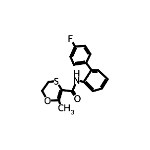 CC1=C(C(=O)Nc2ccccc2-c2ccc(F)cc2)SCCO1